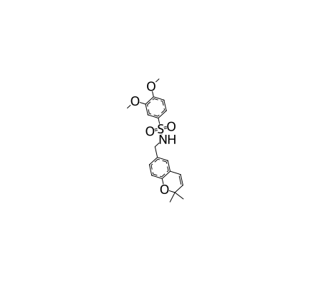 COc1ccc(S(=O)(=O)NCc2ccc3c(c2)C=CC(C)(C)O3)cc1OC